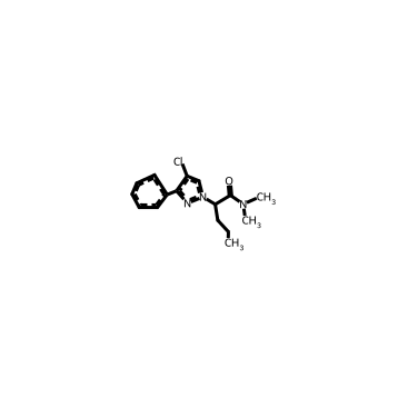 CCCC(C(=O)N(C)C)n1cc(Cl)c(-c2ccccc2)n1